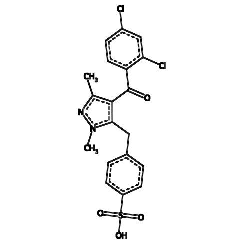 Cc1nn(C)c(Cc2ccc(S(=O)(=O)O)cc2)c1C(=O)c1ccc(Cl)cc1Cl